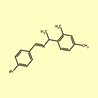 Cc1ccc(C(C)N=Cc2ccc(C(C)C)cc2)c(C)c1